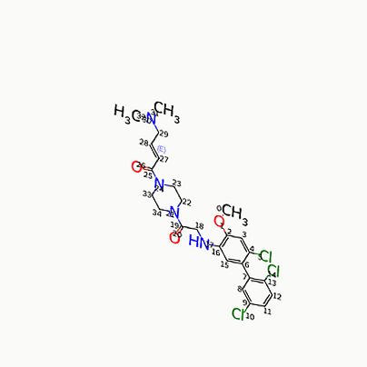 COc1cc(Cl)c(-c2cc(Cl)ccc2Cl)cc1NCC(=O)N1CCN(C(=O)/C=C/CN(C)C)CC1